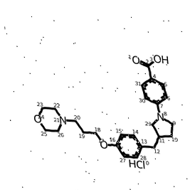 Cl.O=C(O)c1ccc(N2CCC(Cc3ccc(OCCCN4CCOCC4)cc3)C2)cc1